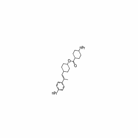 CCCc1ccc(C(C)=CC2CCC(OC(=O)C3CCC(CCC)CC3)CC2)cc1